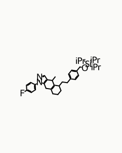 CC1C2=C(CCCC2CCc2ccc(CO[Si](C(C)C)(C(C)C)C(C)C)cc2)Cc2c1cnn2-c1ccc(F)cc1